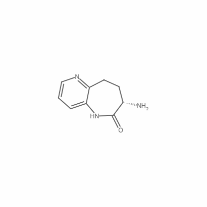 N[C@H]1CCc2ncccc2NC1=O